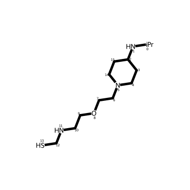 CC(C)NC1CCN(CCOCCNCS)CC1